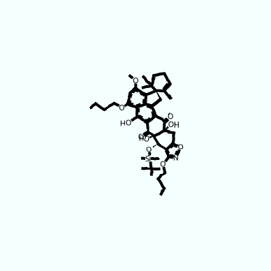 CCCCOc1noc2c1[C@H](O[Si](C)(C)C(C)(C)C)[C@]1(O)C(=O)c3c(c4c5c(c(OC)cc(OCCCC)c5c3O)[C@@]3(C4)C(C)=CCCC3(C)C)C(=O)[C@]1(O)C2